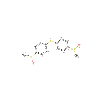 C[S+]([O-])c1ccc(Sc2ccc([S+](C)[O-])cc2)cc1